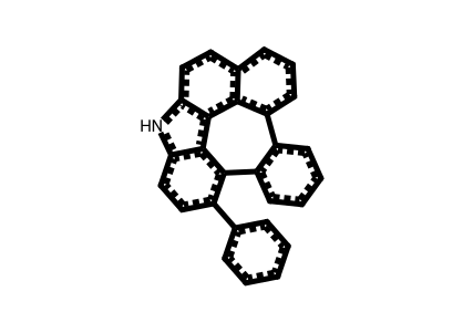 c1ccc(-c2ccc3[nH]c4ccc5cccc6c5c4c3c2-c2ccccc2-6)cc1